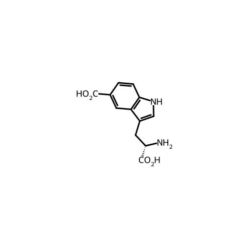 N[C@@H](Cc1c[nH]c2ccc(C(=O)O)cc12)C(=O)O